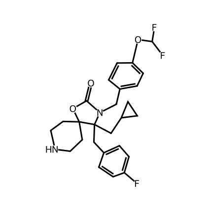 O=C1OC2(CCNCC2)C(Cc2ccc(F)cc2)(CC2CC2)N1Cc1ccc(OC(F)F)cc1